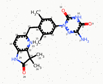 Cc1cc(-n2nc(N)c(=O)[nH]c2=O)cc(C)c1Cc1ccc2c(n1)C(C)(C)C(=O)N2